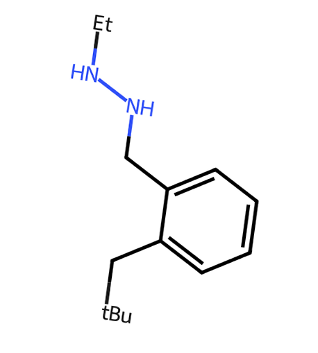 CCNNCc1ccccc1CC(C)(C)C